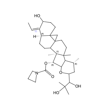 C/C=C1\C(O)CCC23CC24CCC2(C)C5C(OC(C(O)C(C)(C)O)C[C@H]5C)[C@H](OC(=O)N5CCC5)[C@@]2(C)C4CC[C@@H]13